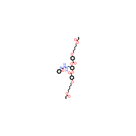 C=CC(=O)OCCCCCCOc1ccc(C(=O)Oc2ccc(OC(=O)c3ccc(OCCCCCCOC(=O)C=C)cc3)c(CNNc3nc4ccccc4o3)c2)cc1